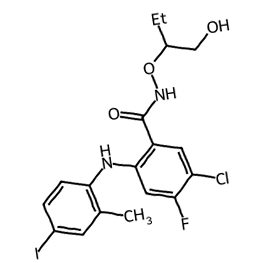 CCC(CO)ONC(=O)c1cc(Cl)c(F)cc1Nc1ccc(I)cc1C